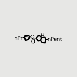 CCCCCC1CCC2C[C@H](C(=O)Oc3ccc(CCC)cc3)CC[C@@H]2C1